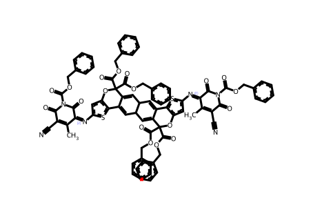 CC1=C(C#N)C(=O)N(C(=O)OCc2ccccc2)C(=O)/C1=N\c1cc2c(s1)C1=CC3C=C4C(=CC3C=C1C(C(=O)OCc1ccccc1)(C(=O)OCc1ccccc1)O2)c1sc(/N=C2/C(=O)N(C(=O)OCc3ccccc3)C(=O)C(C#N)=C2C)cc1OC4(C(=O)OCc1ccccc1)C(=O)OCc1ccccc1